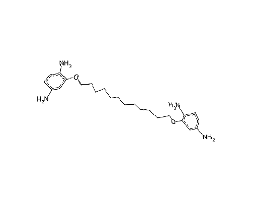 Nc1ccc(N)c(OCCCCCCCCCCCCOc2cc(N)ccc2N)c1